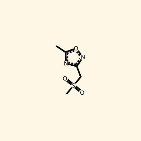 Cc1nc(CS(C)(=O)=O)no1